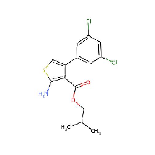 CC(C)COC(=O)c1c(-c2cc(Cl)cc(Cl)c2)csc1N